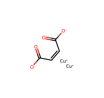 O=C([O-])/C=C\C(=O)[O-].[Cu+].[Cu+]